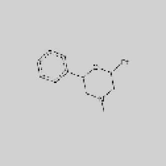 CCC1CN(C)CC(c2ccccc2)O1